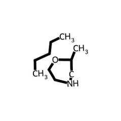 CC1CNCCO1.CCCCC